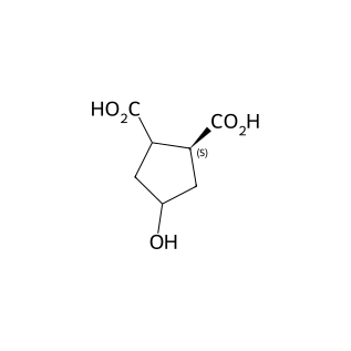 O=C(O)C1CC(O)C[C@@H]1C(=O)O